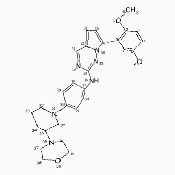 COc1ccc(Cl)cc1-c1ccc2cnc(Nc3ccc(N4CCCC(N5CCOCC5)C4)cc3)nn12